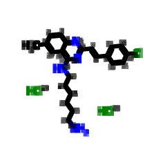 Cc1ccc2nc(C=Cc3ccc(Cl)cc3)nc(NCCCCCCN)c2c1.Cl.Cl